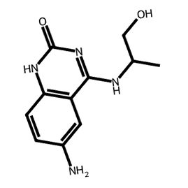 CC(CO)Nc1nc(=O)[nH]c2ccc(N)cc12